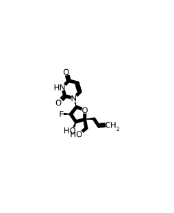 C=CC[C@]1(CO)O[C@@H](n2ccc(=O)[nH]c2=O)[C@H](F)[C@@H]1O